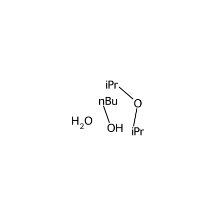 CC(C)OC(C)C.CCCCO.O